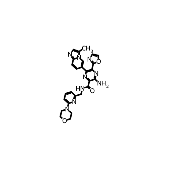 Cc1cnc2ccc(-c3nc(C(=O)NCc4cccc(N5CCOCC5)n4)c(N)nc3-c3ncco3)cn12